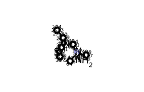 NN(Cc1ccccc1)C(/N=C/c1cccc(-n2c3ccc(-c4ccccc4)cc3c3cc4sc5ccccc5c4cc32)c1)c1ccccc1